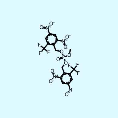 COP(=O)(OCc1c([N+](=O)[O-])cc(N=O)cc1C(F)(F)F)OCc1c([N+](=O)[O-])cc([N+](=O)[O-])cc1C(F)(F)F